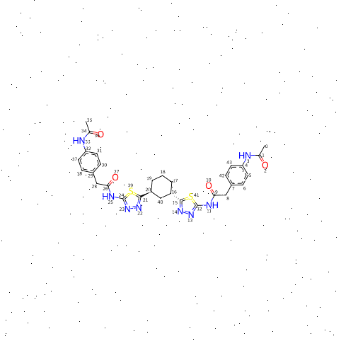 CC(=O)Nc1ccc(CC(=O)Nc2nnc([C@H]3CCC[C@H](c4nnc(NC(=O)Cc5ccc(NC(C)=O)cc5)s4)C3)s2)cc1